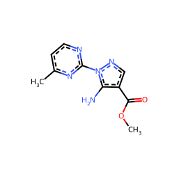 COC(=O)c1cnn(-c2nccc(C)n2)c1N